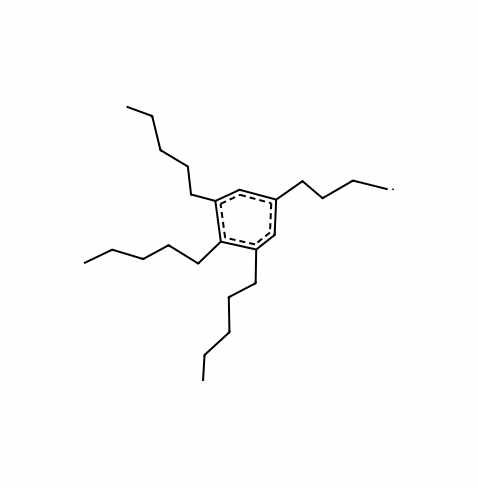 [CH2]CCCc1cc(CCCCC)c(CCCCC)c(CCCCC)c1